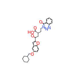 O=C(CC(CCn1nnc2ccccc2c1=O)C(=O)O)c1cc2cc(OCC3CCCCC3)ccc2o1